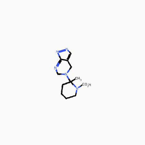 CC1(N2CN=C3N=NC=C3C2)CCCCN1C(=O)O